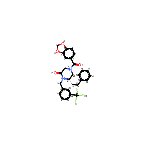 O=C(c1ccc2c(c1)OCO2)N1CC(=O)N(Cc2cccc(C(F)(F)F)c2)[C@@H](CCc2ccccc2)C1